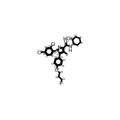 Cc1c(C(=O)N[C@H]2CCCC[C@H]2O)nn(-c2ccc(Cl)cc2Cl)c1-c1ccc(OCCCF)cc1